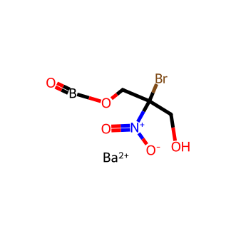 O=BOCC(Br)(CO)[N+](=O)[O-].[Ba+2]